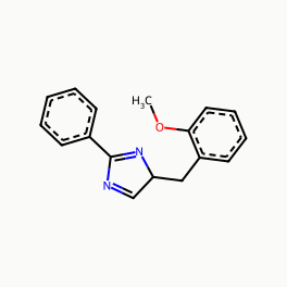 COc1ccccc1CC1C=NC(c2ccccc2)=N1